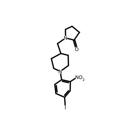 O=C1CCCN1CC1CCN(c2ccc(I)cc2[N+](=O)[O-])CC1